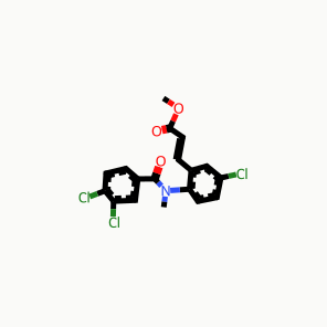 COC(=O)C=Cc1cc(Cl)ccc1N(C)C(=O)c1ccc(Cl)c(Cl)c1